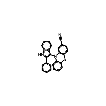 N#Cc1ccc2c(c1)N(c1c(-c3ccccc3)[nH]c3ccccc13)c1ccccc1S2